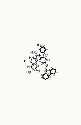 C[C@H](NC(=O)[C@H](C)NC(=O)[C@H](C)NC(=O)[C@H](Cc1ccc(O)cc1)NC(=O)OCC1c2ccccc2-c2ccccc21)C(=O)O